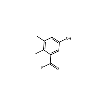 Cc1cc(O)cc(C(=O)F)c1C